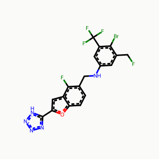 FCc1cc(NCc2ccc3oc(-c4nnn[nH]4)cc3c2F)cc(C(F)(F)F)c1Br